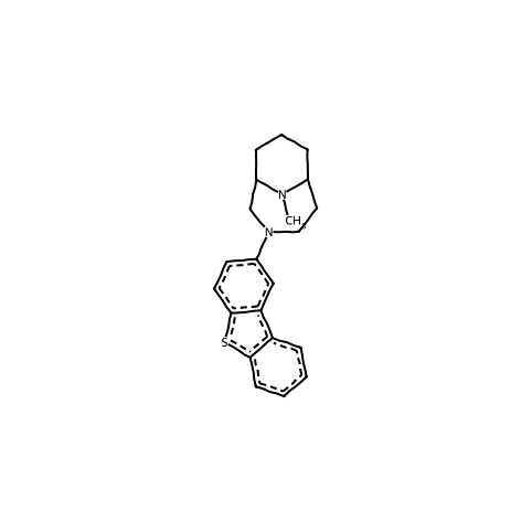 CN1C2CCCC1CN(c1ccc3sc4ccccc4c3c1)CC2